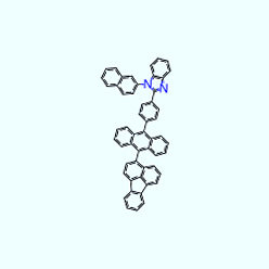 c1ccc2c(c1)-c1cccc3c(-c4c5ccccc5c(-c5ccc(-c6nc7ccccc7n6-c6ccc7ccccc7c6)cc5)c5ccccc45)ccc-2c13